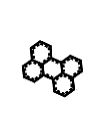 [c]1ccc2c3[c]ccc4cccc(c5cccc1c25)c43